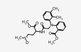 COC(=O)c1ccccc1N(CC(=O)NC(CC[S+](C)[O-])C(=O)OC)c1cccc(C)c1C